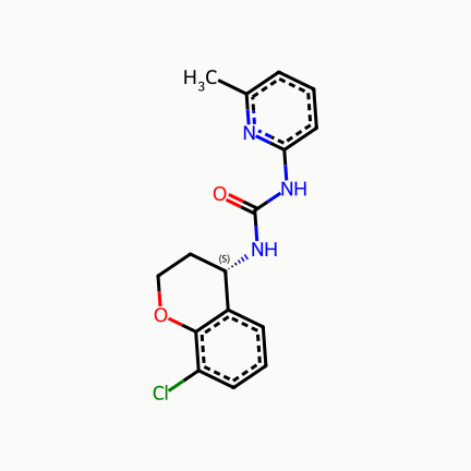 Cc1cccc(NC(=O)N[C@H]2CCOc3c(Cl)cccc32)n1